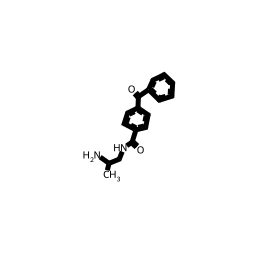 CC(N)CNC(=O)c1ccc(C(=O)c2ccccc2)cc1